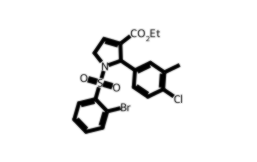 CCOC(=O)C1=CCN(S(=O)(=O)c2ccccc2Br)C1c1ccc(Cl)c(C)c1